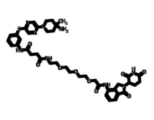 CC1(N)CCN(c2cnc(Sc3cccc(NC(=O)CCC(=O)NCCOCCOCCOCC(=O)Nc4cccc5c4CN(C4CCC(=O)NC4=O)C5=O)c3)cn2)CC1